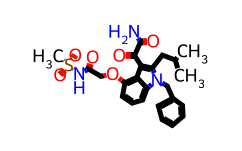 CC(C)Cc1c(C(=O)C(N)=O)c2c(OCC(=O)NS(C)(=O)=O)cccc2n1Cc1ccccc1